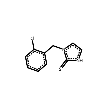 S=c1[nH]c[c]n1Cc1ccccc1Cl